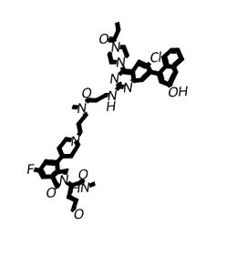 CCC(=O)N1CCN(c2nc(NCCC(=O)N(C)CCCN3CCC(c4cc(F)cc5c4CN(C(CCC=O)C(=O)NC)C5=O)CC3)nc3cc(-c4cc(O)cc5ccccc45)c(Cl)cc23)CC1